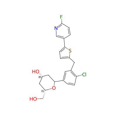 OC[C@@H]1C[C@H](O)CC(c2ccc(Cl)c(Cc3ccc(-c4ccc(F)nc4)s3)c2)O1